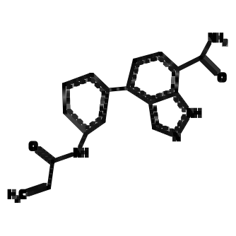 C=CC(=O)Nc1cccc(-c2ccc(C(N)=O)c3[nH]ncc23)c1